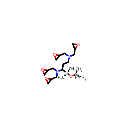 C[SiH](C)O[Si](C)(C)C(CCN(CC1CO1)CC1CO1)N(CC1CO1)CC1CO1